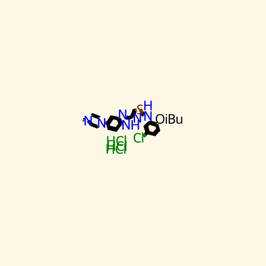 CC(C)COc1ccc(Cl)cc1Nc1nc(-c2nc3cc(N4CCN(C)CC4)ccc3[nH]2)cs1.Cl.Cl.Cl